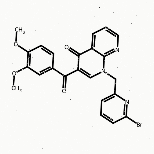 COc1ccc(C(=O)c2cn(Cc3cccc(Br)n3)c3ncccc3c2=O)cc1OC